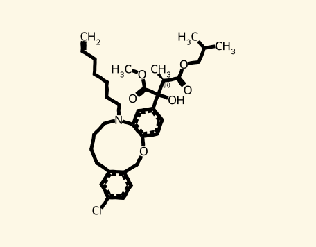 C=CCCCCCN1CCCCc2cc(Cl)ccc2COc2ccc(C(O)(C(=O)OC)[C@@H](C)C(=O)OCC(C)C)cc21